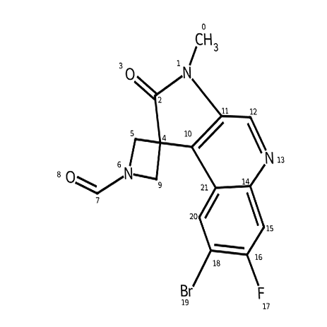 CN1C(=O)C2(CN(C=O)C2)c2c1cnc1cc(F)c(Br)cc21